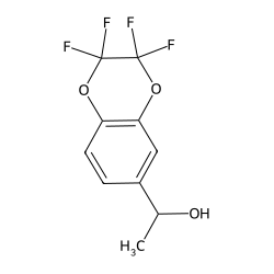 CC(O)c1ccc2c(c1)OC(F)(F)C(F)(F)O2